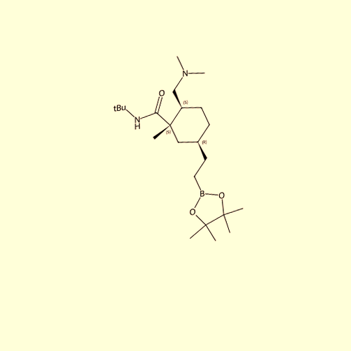 CN(C)C[C@H]1CC[C@@H](CCB2OC(C)(C)C(C)(C)O2)C[C@]1(C)C(=O)NC(C)(C)C